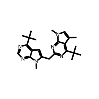 Cc1cn(C)c2nc(Cc3cc4c(C(C)(C)C)ncnc4n3C)nc(C(C)(C)C)c12